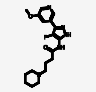 COc1cncc(-c2n[nH]c(NC(=O)CCCN3CCCCC3)c2F)c1